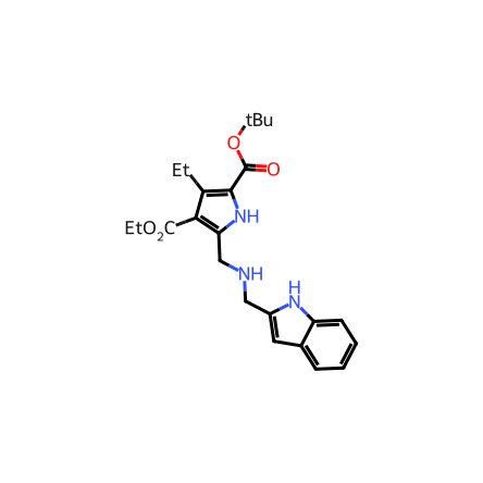 CCOC(=O)c1c(CNCc2cc3ccccc3[nH]2)[nH]c(C(=O)OC(C)(C)C)c1CC